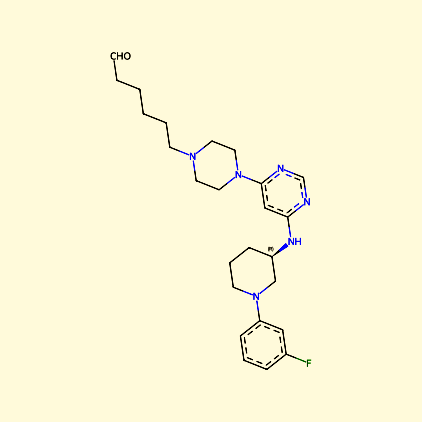 O=CCCCCCN1CCN(c2cc(N[C@@H]3CCCN(c4cccc(F)c4)C3)ncn2)CC1